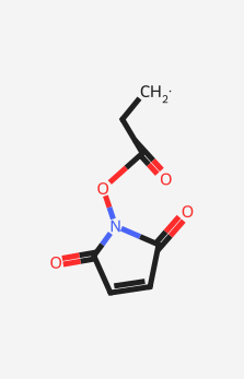 [CH2]CC(=O)ON1C(=O)C=CC1=O